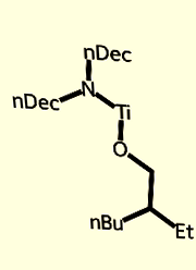 CCCCCCCCCC[N](CCCCCCCCCC)[Ti][O]CC(CC)CCCC